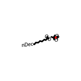 CCCCCCCCCCCCCCCCCC(=O)OCC12COP(OC1)OC2